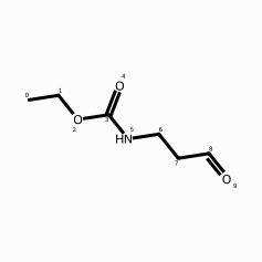 CCOC(=O)NCCC=O